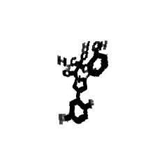 CC(C)(O)C(=O)N1CC(c2cc(F)ccc2F)=C[C@H]1c1cccc(O)c1